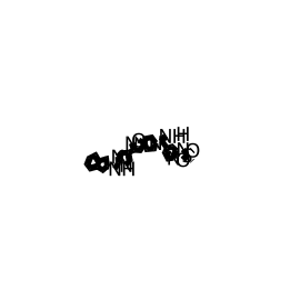 CS(=O)(=O)NC1=NC=CC(C(=N)N2CCC3(CC2)CC(c2cnc(NC4Cc5ccccc5C4)nc2)=NO3)C1